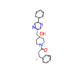 C[C@H](CC(=O)N1CCC(O)(Cc2cnc(-c3ccccc3)cn2)CC1)c1ccccc1